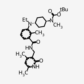 CCN(c1cccc(C(=O)NCc2c(C)cc(C)[nH]c2=O)c1C)[C@H]1CC[C@H](N(C)C(=O)OC(C)(C)C)CC1